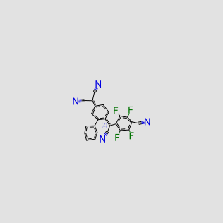 N#CC(C#N)=c1cc/c(=C(/C#N)c2c(F)c(F)c(C#N)c(F)c2F)c(-c2ccccc2)c1